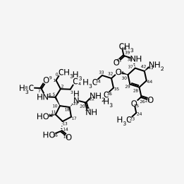 CCC(CC)C(NC(C)=O)[C@@H]1[C@H](O)[C@@H](C(=O)O)C[C@H]1NC(=N)N.CCOC(=O)C1=C[C@@H](OC(CC)CC)[C@H](NC(C)=O)[C@@H](N)C1